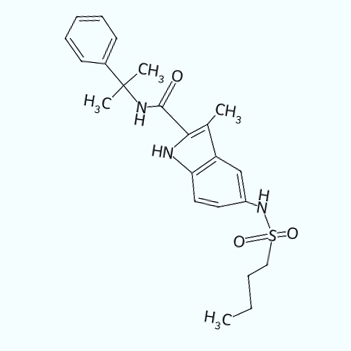 CCCCS(=O)(=O)Nc1ccc2[nH]c(C(=O)NC(C)(C)c3ccccc3)c(C)c2c1